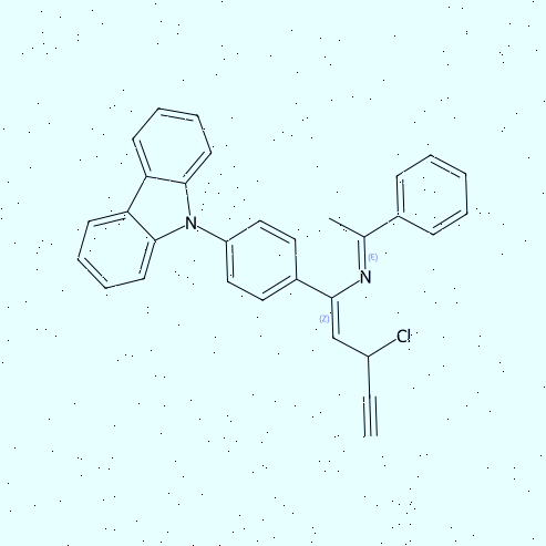 C#CC(Cl)/C=C(\N=C(/C)c1ccccc1)c1ccc(-n2c3ccccc3c3ccccc32)cc1